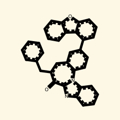 O=c1c(Cc2ccccc2)cc2cc(-c3cccc4oc5ccccc5c34)ccc2n2c1nc1ccccc12